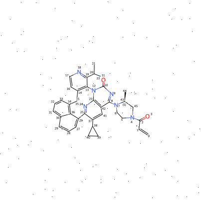 C=CC(=O)N1CCN(c2nc(=O)n(-c3c(C)ccnc3C(C)C)c3nc(-c4cccc5cccc(C)c45)c(C4CC4)cc23)[C@@H](C)C1